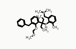 CCC(CC)(Pc1c(C)cccc1CN(C)C)c1cccc(Cc2ccccc2)c1OCOC